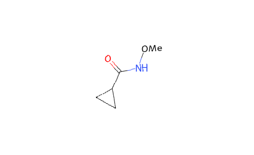 [CH2]ONC(=O)C1CC1